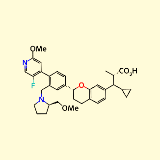 COC[C@H]1CCCN1Cc1cc([C@H]2CCc3ccc(C(C4CC4)[C@H](C)C(=O)O)cc3O2)ccc1-c1cc(OC)ncc1F